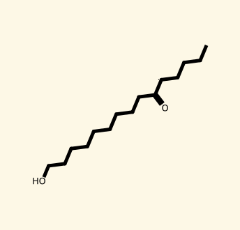 CCCC[CH]C(=O)CCCCCCCCCO